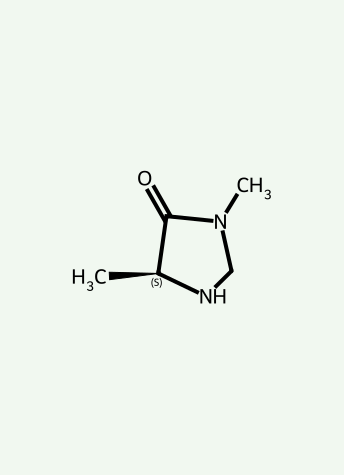 C[C@@H]1NCN(C)C1=O